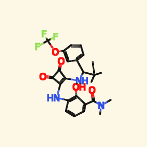 CN(C)C(=O)c1cccc(Nc2c(NC(c3cccc(OC(F)(F)F)c3)C(C)(C)C)c(=O)c2=O)c1O